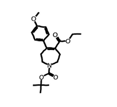 CCOC(=O)C1=C(c2ccc(OC)cc2)CCN(C(=O)OC(C)(C)C)CC1